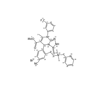 COC(=O)C1=C(C)N(c2cccc(C(F)(F)F)c2)c2n[nH]c(=O)n2C1c1ccc(C#N)cc1CC[N+](C)(C)Cc1ccccn1.[Br-]